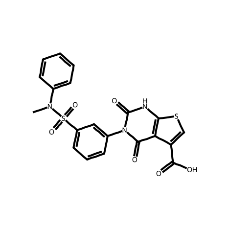 CN(c1ccccc1)S(=O)(=O)c1cccc(-n2c(=O)[nH]c3scc(C(=O)O)c3c2=O)c1